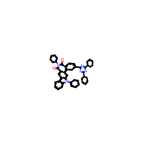 O=c1c2ccc(-c3nc(-c4ccccc4)nc(-c4ccccc4)n3)cc2c2cc3c(cc2c(=O)n1-c1ccccc1)c1ccccc1n3-c1ccccc1